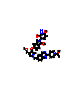 COC[C@@H]1CN(Cc2ccc3nc(C4CCN(C(C)=O)CC4)ncc3c2)C[C@H]1Oc1ccc2c(c1)CN([C@H]1CCC(=O)NC1=O)C2=O